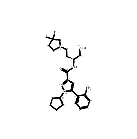 CC1(F)CCN(CC[C@@H](CC(=O)O)NC(=O)c2cc(-c3ccccc3C(F)(F)F)n(C3CCCC3)n2)C1